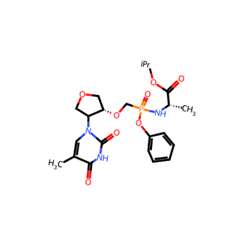 Cc1cn(C2COC[C@@H]2OCP(=O)(N[C@@H](C)C(=O)OC(C)C)Oc2ccccc2)c(=O)[nH]c1=O